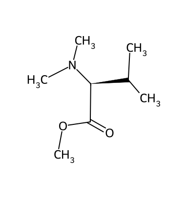 COC(=O)[C@H](C(C)C)N(C)C